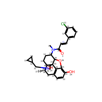 CN(C(=O)/C=C/c1cccc(Cl)c1)C1CC[C@@]2(O)[C@H]3Cc4ccc(O)c5c4[C@@]2(CCN3CC2CC2)C1O5